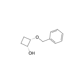 O[C@@H]1CC[C@@H]1OCc1ccccc1